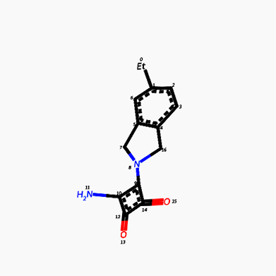 CCc1ccc2c(c1)CN(c1c(N)c(=O)c1=O)C2